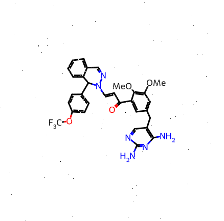 COc1cc(Cc2cnc(N)nc2N)cc(C(=O)/C=C/N2N=Cc3ccccc3C2c2ccc(OC(F)(F)F)cc2)c1OC